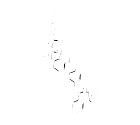 COCCOC(=O)Nc1nc2c(F)c(-c3cc(Cc4n[nH]c(=O)c5c4=CCCC=5)ccc3F)ccc2[nH]1